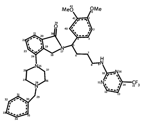 COc1ccc(C(CCCNc2nccc(C(F)(F)F)n2)N2Cc3c(cccc3N3CCN(Cc4ccccc4)CC3)C2=O)cc1OC